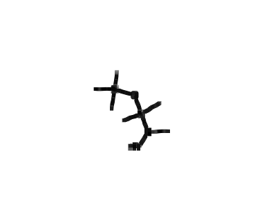 CCCN(C)[Si](C)(C)O[Si](C)(C)C